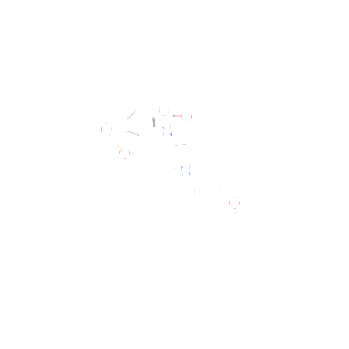 CCCO[C@H]1CC[C@](C)(N2CCC(n3c(=O)oc4cc(C)c(S(C)(=O)=O)cc43)CC2)CC1